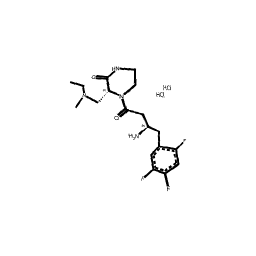 CCN(C)C[C@@H]1C(=O)NCCN1C(=O)C[C@H](N)Cc1cc(F)c(F)cc1F.Cl.Cl